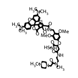 COc1cc(OC(CC(=O)NCCN(C)C(=O)CN2CCN(C)CC2)C(=O)NS)cc(OC)c1CNC(=O)c1cc(Cl)c2c(c1Cl)C(=O)OC21c2ccc(N(C)C)cc2Oc2cc(N(C)C)ccc21